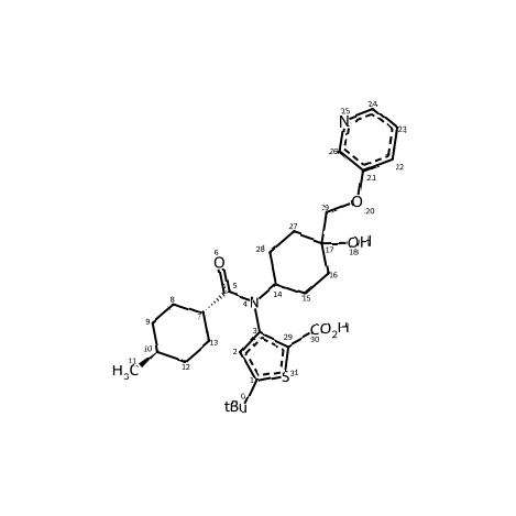 CC(C)(C)c1cc(N(C(=O)[C@H]2CC[C@H](C)CC2)C2CCC(O)(COc3cccnc3)CC2)c(C(=O)O)s1